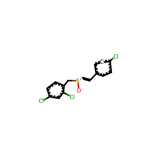 [O-][S+](C=Cc1ccc(Cl)cc1)Cc1ccc(Cl)cc1Cl